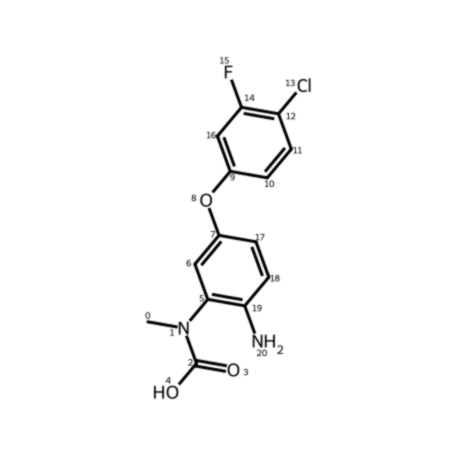 CN(C(=O)O)c1cc(Oc2ccc(Cl)c(F)c2)ccc1N